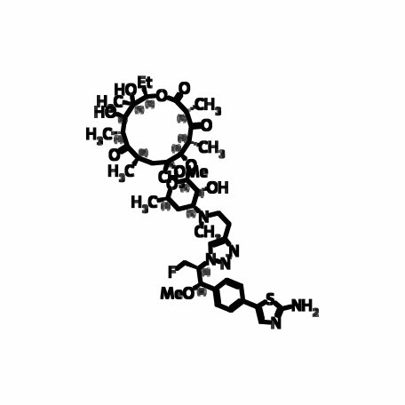 CC[C@H]1OC(=O)[C@H](C)C(=O)[C@H](C)[C@@H](O[C@@H]2O[C@H](C)C[C@H](N(C)CCc3cn([C@H](CF)[C@H](OC)c4ccc(-c5cnc(N)s5)cc4)nn3)[C@H]2O)[C@](C)(OC)C[C@@H](C)C(=O)[C@H](C)[C@@H](O)[C@]1(C)O